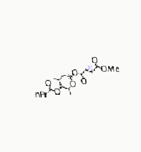 CCCC(=O)O[C@H]1C(C)C[C@@H](OC(=O)/C=C/C(=O)OC)OC1C